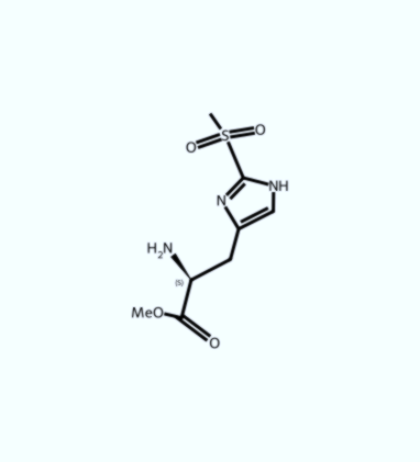 COC(=O)[C@@H](N)Cc1c[nH]c(S(C)(=O)=O)n1